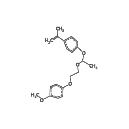 C=C(C)c1ccc(OC(C)OCCOc2ccc(OC)cc2)cc1